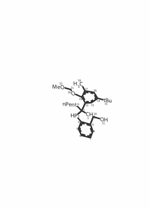 CCCCCC(C)(Pc1ccccc1CO)c1cc(C(C)(C)C)cc(C)c1OCOC